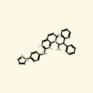 CC(C(c1ccccc1)c1ccccc1)n1c(=O)ccc2cnc(Nc3ccc(-n4cccn4)cc3)nc21